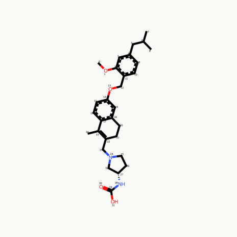 COc1cc(CC(C)C)ccc1COc1ccc2c(c1)CCC(CN1CC[C@H](NC(=O)O)C1)=C2C